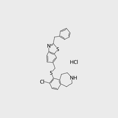 Cl.Clc1ccc2c(c1SCc1ccc3nc(Cc4ccccc4)sc3c1)CCNCC2